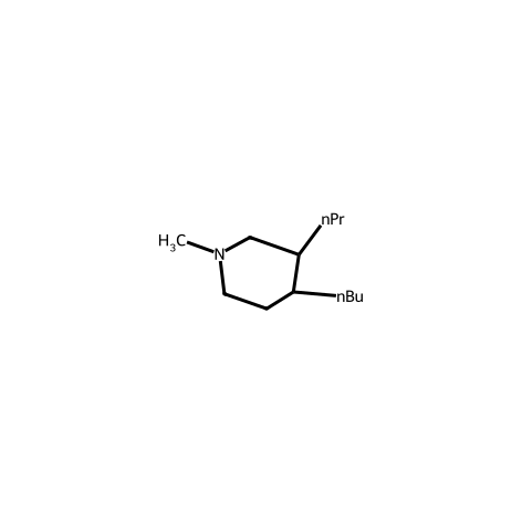 CCCCC1CCN(C)CC1CCC